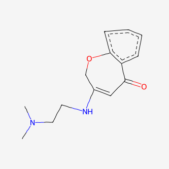 CN(C)CCNC1=CC(=O)c2ccccc2OC1